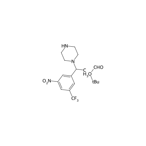 CC(C)(C)OC=O.CC(c1cc([N+](=O)[O-])cc(C(F)(F)F)c1)N1CCNCC1